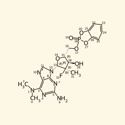 CN(C)c1nc(N)nc2c1ncn2[C@@H]1O[C@H](COP2(=O)Oc3ccccc3O2)[C@@H](O)[C@@]1(C)F